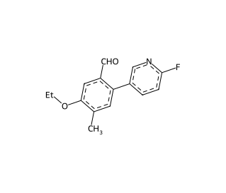 CCOc1cc(C=O)c(-c2ccc(F)nc2)cc1C